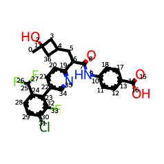 CC1(O)CC(CC(C(=O)Nc2ccc(C(=O)O)cc2)c2ccc(-c3c(C(F)F)ccc(Cl)c3F)cn2)C1